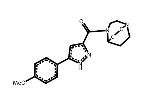 COc1ccc(-c2cc(C(=O)N3CCN4CCC3CC4)n[nH]2)cc1